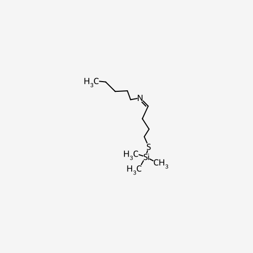 CCCCC/N=C\CCCS[Si](C)(C)C